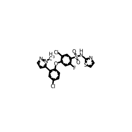 Cn1nccc1-c1cc(Cl)ccc1Oc1cc(F)c(S(=O)(=O)Nc2nccs2)cc1Cl